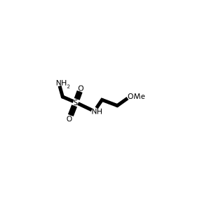 COCCNS(=O)(=O)CN